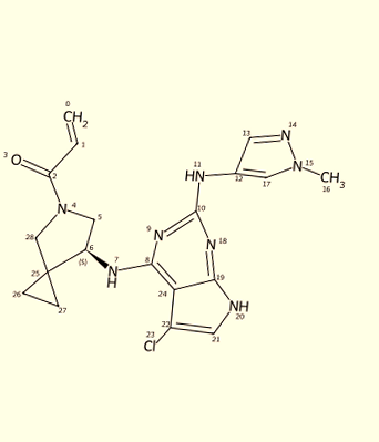 C=CC(=O)N1C[C@@H](Nc2nc(Nc3cnn(C)c3)nc3[nH]cc(Cl)c23)C2(CC2)C1